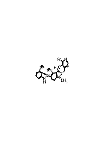 Cc1c(C[n+]2cc3c(C(C)(C)C)c(-[n+]4cc5c(C(C)(C)C)cccc5[nH]4)ccc3n2C)ncnc1C(C)C